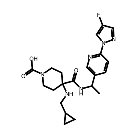 CC(NC(=O)C1(NCC2CC2)CCN(C(=O)O)CC1)c1ccc(-n2cc(F)cn2)nc1